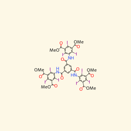 COC(=O)c1c(I)c(NC(=O)c2cc(C(=O)Nc3c(I)c(C(=O)OC)c(I)c(C(=O)OC)c3I)cc(C(=O)Nc3c(I)c(C(=O)OC)c(I)c(C(=O)OC)c3I)c2)c(I)c(C(=O)OC)c1I